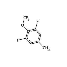 Cc1cc(F)c(OC(F)(F)F)c(F)c1